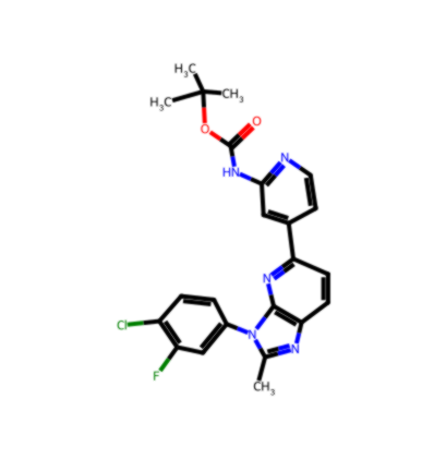 Cc1nc2ccc(-c3ccnc(NC(=O)OC(C)(C)C)c3)nc2n1-c1ccc(Cl)c(F)c1